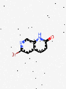 O=c1ccc2cc(Br)ncc2[nH]1